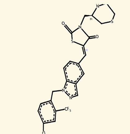 O=C1S/C(=C\c2ccc3c(cnn3Cc3ccc(Cl)cc3C(F)(F)F)c2)C(=O)N1C[C@@H]1CSCCN1